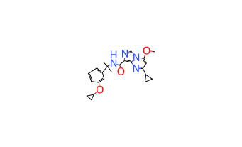 COc1cc(C2CC2)nc2c(C(=O)NC(C)(C)c3cccc(OC4CC4)c3)ncn12